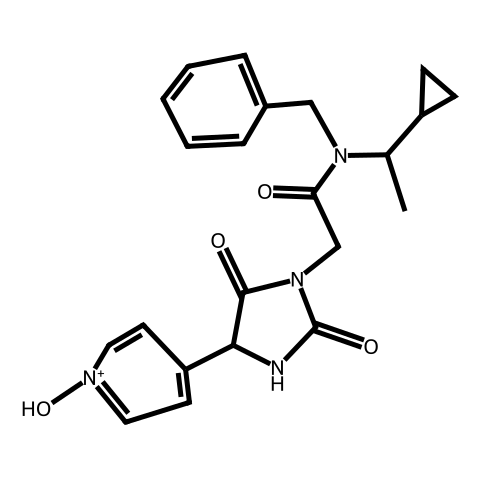 CC(C1CC1)N(Cc1ccccc1)C(=O)CN1C(=O)NC(c2cc[n+](O)cc2)C1=O